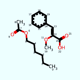 CCCCCCOC(C)=O.COC(=Cc1ccccc1)C(=O)O